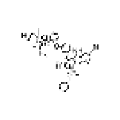 CNC(=O)C(C)(C)Oc1ccccc1Oc1ccc(Nc2c(OC)c(N(C)C(=O)OCc3ccccc3)cc3ncc(C#N)cc23)cc1